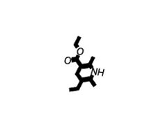 CCOC(=O)C1=C(C)NC(C)=C(CC)C1